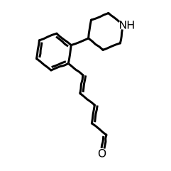 O=CC=CC=Cc1ccccc1C1CCNCC1